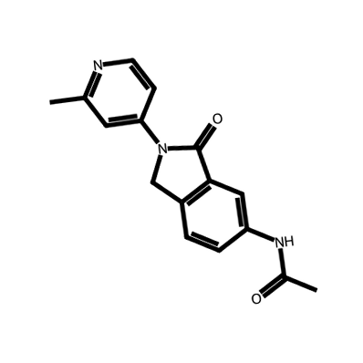 CC(=O)Nc1ccc2c(c1)C(=O)N(c1ccnc(C)c1)C2